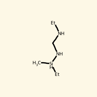 CCNCN[SiH](C)CC